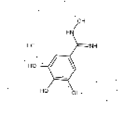 Cl.N=C(NO)c1cc(O)c(O)c(O)c1